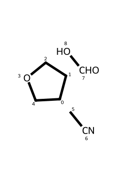 C1CCOC1.CC#N.O=CO